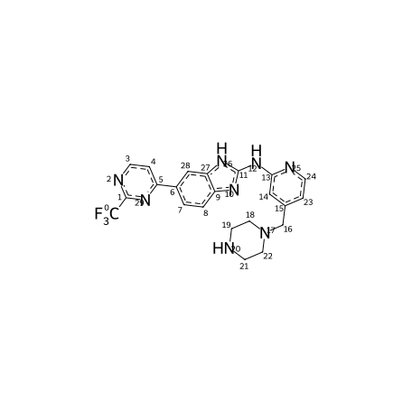 FC(F)(F)c1nccc(-c2ccc3nc(Nc4cc(CN5CCNCC5)ccn4)[nH]c3c2)n1